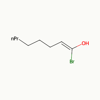 CCCCCC/C=C(/O)Br